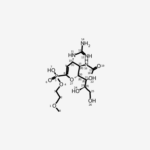 COCCOP(=O)(O)C1=C[C@H](NC(=N)N)[C@@H](NC(C)=O)[C@H]([C@H](O)[C@H](O)CO)O1